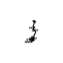 CCC(=O)OCC(C(C)OC)N(C)C(=O)C1(NC(=O)/C=C/C=C/C=C/C=C\CNC(=O)C(C)(C)C(O)\C(C)=C/C=C\C=C\Cc2cnco2)COCO1